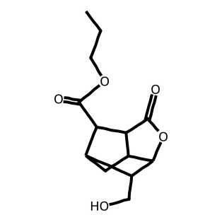 CCCOC(=O)C1C2CC3C(OC(=O)C31)C2CO